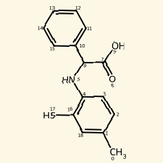 Cc1ccc(NC(C(=O)O)c2ccccc2)c(S)c1